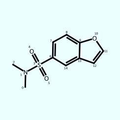 CN(C)S(=O)(=O)c1ccc2occc2c1